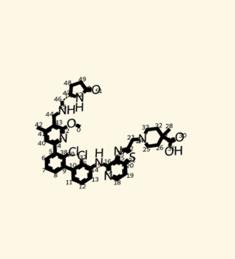 COc1nc(-c2cccc(-c3cccc(Nc4nccc5sc(CN6CCC(C)(C(=O)O)CC6)nc45)c3Cl)c2Cl)cc(C)c1CNC[C@@H]1CCC(=O)N1